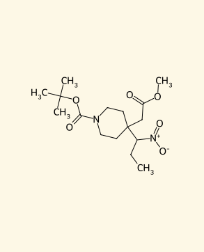 CCC([N+](=O)[O-])C1(CC(=O)OC)CCN(C(=O)OC(C)(C)C)CC1